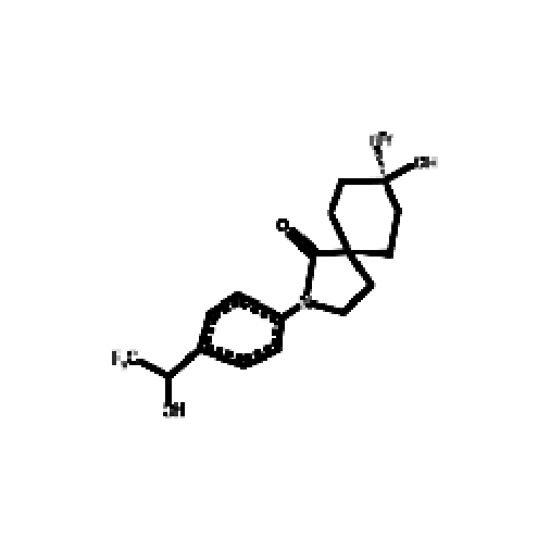 CCC[C@]1(O)CC[C@]2(CCN(c3ccc(C(O)C(F)(F)F)cc3)C2=O)CC1